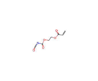 C=CC(=O)OCCOC(=O)N=C=O